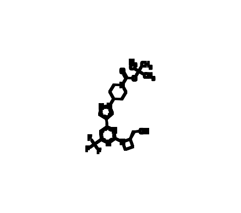 CC(C)(C)OC(=O)N1CCC(n2cc(-c3cc(C(F)(F)F)nc(N4CC[C@@H]4CO)n3)cn2)CC1